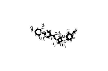 C[C@@H]1C[C@H](C=O)C[C@H](C)N1c1ncc(C(=O)N[C@H]2C(C)(C)[C@H](Oc3ccc(C#N)c(Cl)c3)C2(C)C)cn1